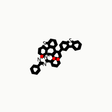 C1=Cc2sc3cccc(-c4c(C[n+]5cnc(-c6ccccc6)nc5-c5ccccc5)cccc4-c4ccc5sc6ccccc6c5c4)c3c2CC1